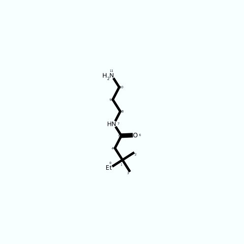 CCC(C)(C)CC(=O)NCCCN